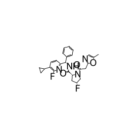 Cc1cnc(CC(=O)N2C[C@H](F)C[C@H]2C(=O)N[C@@H](c2ccccc2)c2ccc(C3CC3)c(F)n2)o1